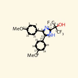 COc1ccc(-c2nc(C(O)(C(F)(F)F)C(F)(F)F)[nH]c2-c2ccc(OC)cc2)cc1